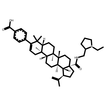 C=C(C)[C@@H]1CC[C@]2(C(=O)NCC3CCCN3CC)CC[C@]3(C)[C@H](CC[C@@H]4[C@@]5(C)CC=C(c6ccc(C(=O)O)cc6)C(C)(C)[C@@H]5CC[C@]43C)[C@@H]12